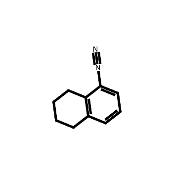 N#[N+]c1cccc2c1CCCC2